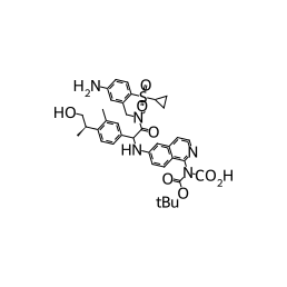 Cc1cc(C(Nc2ccc3c(N(C(=O)O)C(=O)OC(C)(C)C)nccc3c2)C(=O)N(C)Cc2cc(N)ccc2S(=O)(=O)C2CC2)ccc1[C@@H](C)CO